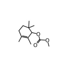 COC(=O)OC1C(C)=C(C)CCC1(C)C